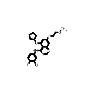 COCCOc1cc(OC2CCCC2)c2c(Nc3ccc(F)c(Cl)c3)ncnc2c1